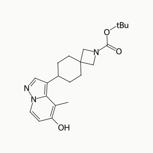 Cc1c(O)ccn2ncc(C3CCC4(CC3)CN(C(=O)OC(C)(C)C)C4)c12